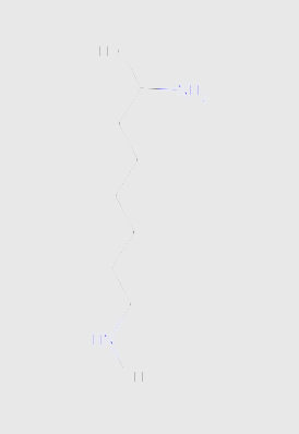 CNCCCCCCC(C)N